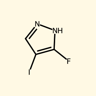 Fc1[nH]ncc1I